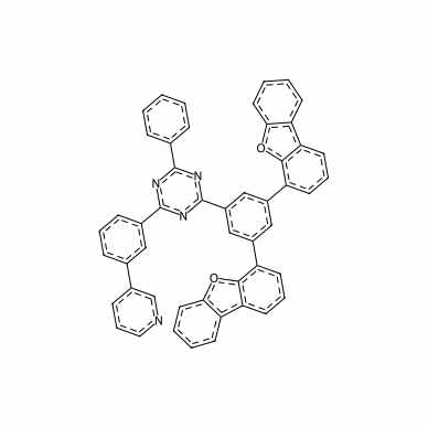 c1ccc(-c2nc(-c3cccc(-c4cccnc4)c3)nc(-c3cc(-c4cccc5c4oc4ccccc45)cc(-c4cccc5c4oc4ccccc45)c3)n2)cc1